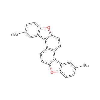 CCCCc1ccc2oc3ccc4c(ccc5oc6ccc(C(C)CC)cc6c54)c3c2c1